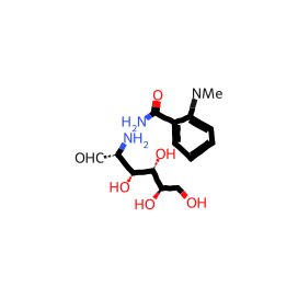 CNc1ccccc1C(N)=O.N[C@@H](C=O)[C@@H](O)[C@H](O)[C@H](O)CO